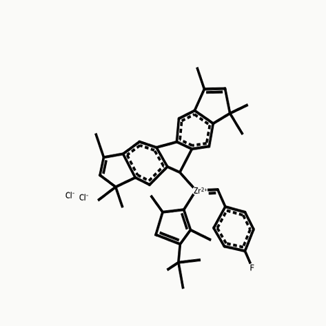 CC1=CC(C)(C)c2cc3c(cc21)-c1cc2c(cc1[CH]3/[Zr+2](=[CH]/c1ccc(F)cc1)[C]1=C(C)C(C(C)(C)C)=CC1C)C(C)(C)C=C2C.[Cl-].[Cl-]